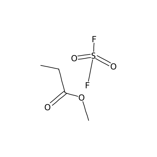 CCC(=O)OC.O=S(=O)(F)F